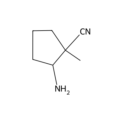 CC1(C#N)CCCC1N